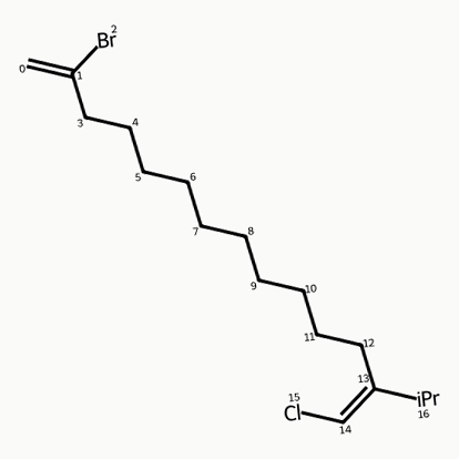 C=C(Br)CCCCCCCCCCC(=CCl)C(C)C